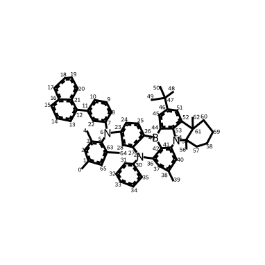 Cc1cc(C)c(N(c2cccc(-c3cccc4ccccc34)c2)c2ccc3c(c2)N(c2ccccc2)c2cc(C)cc4c2B3c2cc(C(C)(C)C)cc3c2N4C2(C)CCCCC32C)c(C)c1